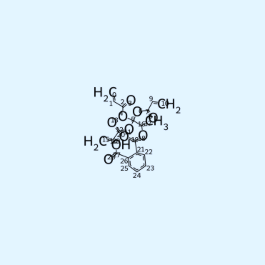 C=CC(=O)OC(OC(=O)C=C)(OC(=O)C=C)C(C)OC(=O)c1ccccc1C(=O)O